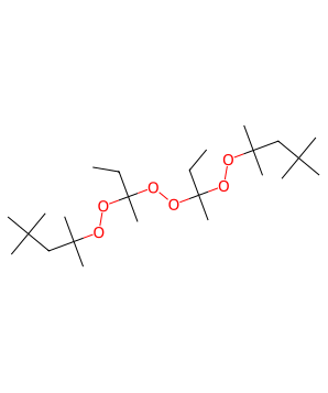 CCC(C)(OOC(C)(C)CC(C)(C)C)OOC(C)(CC)OOC(C)(C)CC(C)(C)C